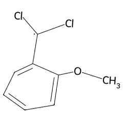 COc1ccccc1[C](Cl)Cl